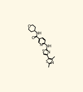 Cc1nc(C)c(-c2csc(Nc3ccc(C(=O)NC4CCOCC4)cn3)n2)s1